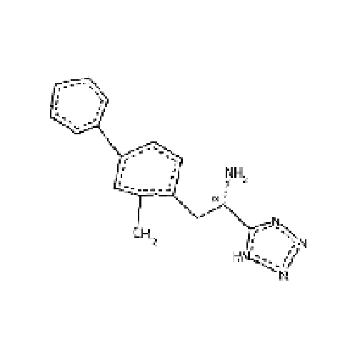 Cc1cc(-c2ccccc2)ccc1C[C@H](N)c1nnn[nH]1